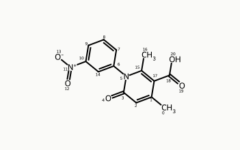 Cc1cc(=O)n(-c2cccc([N+](=O)[O-])c2)c(C)c1C(=O)O